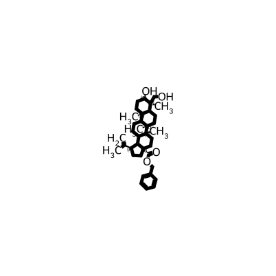 C=C(C)[C@@H]1CC[C@]2(C(=O)OCc3ccccc3)CC[C@]3(C)C(CCC4[C@@]5(C)CC[C@H](O)[C@@](C)(CO)C5CC[C@]43C)C12